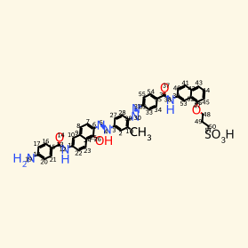 Cc1cc(N=Nc2ccc3cc(NC(=O)c4ccc(N)cc4)ccc3c2O)ccc1N=Nc1ccc(C(=O)Nc2ccc3cccc(OCCCS(=O)(=O)O)c3c2)cc1